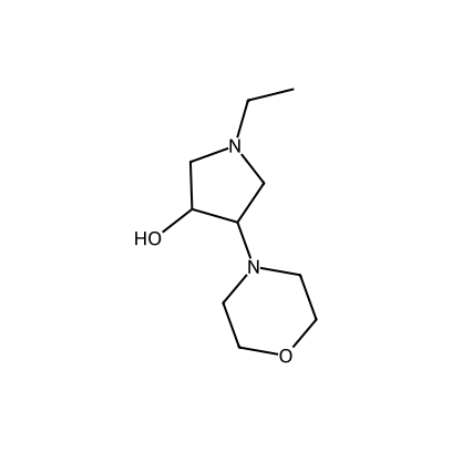 CCN1CC(O)C(N2CCOCC2)C1